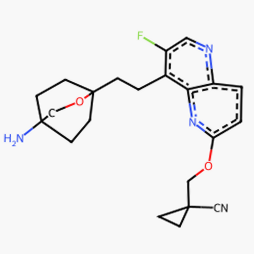 N#CC1(COc2ccc3ncc(F)c(CCC45CCC(N)(CC4)CO5)c3n2)CC1